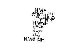 CN/C=C(\C=N)c1ccc(NC(=N)C2=C(NC3CCOC3)CCN(C(=O)NC)C2)c(F)c1